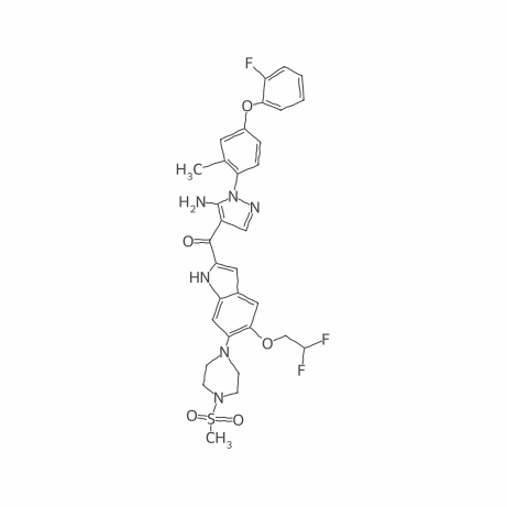 Cc1cc(Oc2ccccc2F)ccc1-n1ncc(C(=O)c2cc3cc(OCC(F)F)c(N4CCN(S(C)(=O)=O)CC4)cc3[nH]2)c1N